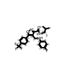 CC(C)[C@H](C)NC(=O)c1noc(-c2ccc(C(F)(F)F)cc2)c1CNc1ccc(F)cc1